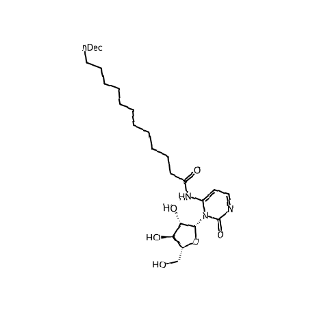 CCCCCCCCCCCCCCCCCCCCCC(=O)Nc1ccnc(=O)n1[C@@H]1O[C@H](CO)[C@@H](O)[C@@H]1O